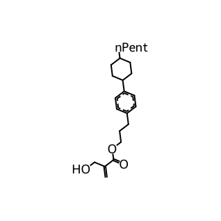 C=C(CO)C(=O)OCCCc1ccc(C2CCC(CCCCC)CC2)cc1